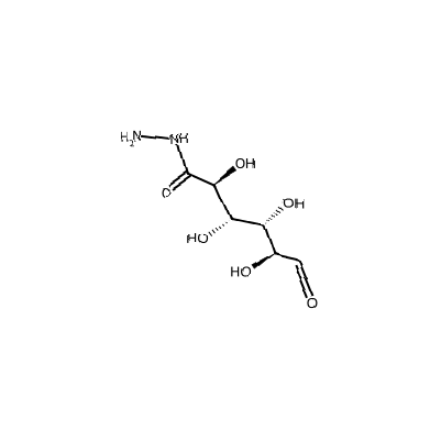 NNC(=O)[C@@H](O)[C@@H](O)[C@H](O)[C@H](O)C=O